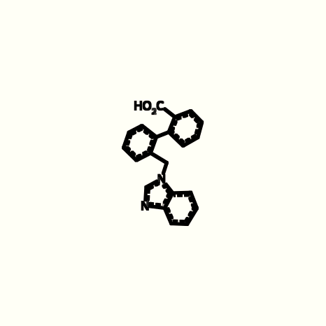 O=C(O)c1ccccc1-c1ccccc1Cn1cnc2ccccc21